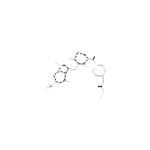 COC(=O)CC1CCN(C(=O)c2ccc(Cl)c(Cc3cn(C)c4cc(C(F)(F)F)cc(C)c34)c2Cl)CC1